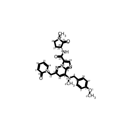 COc1ccc(CN(C)c2cc(Cn3ccccc3=O)nn3c(C(=O)N[C@@H]4CCN(C)C4=O)cnc23)cc1